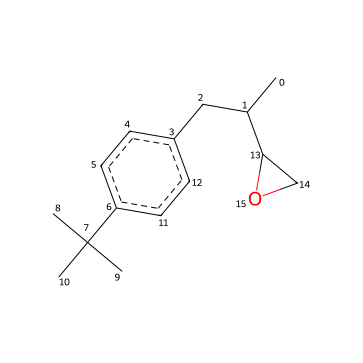 CC(Cc1ccc(C(C)(C)C)cc1)C1CO1